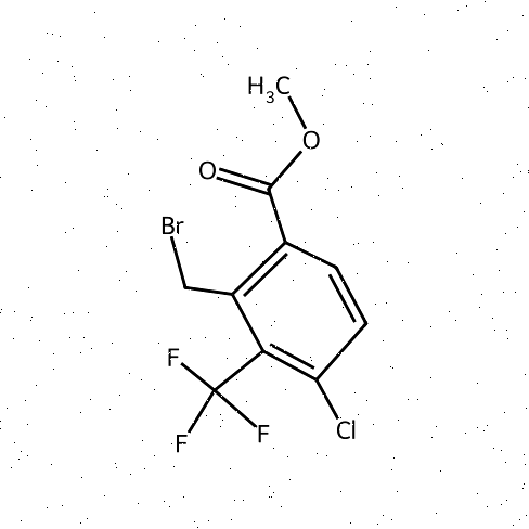 COC(=O)c1ccc(Cl)c(C(F)(F)F)c1CBr